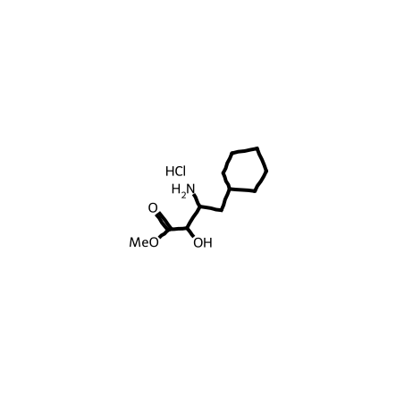 COC(=O)C(O)C(N)CC1CCCCC1.Cl